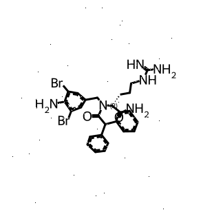 N=C(N)NCCC[C@H](C(N)=O)N(Cc1cc(Br)c(N)c(Br)c1)C(=O)C(c1ccccc1)c1ccccc1